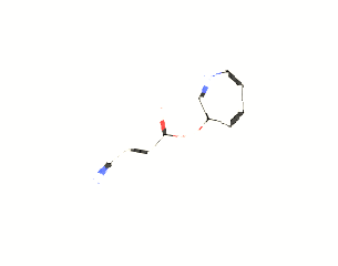 N#CC=CC(=O)OC1C=CC=CN=C1